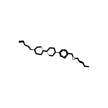 C=CCCC[C@H]1CC[C@H]([C@H]2CC[C@H](c3ccc(COCC=CCC)cc3)CC2)CC1